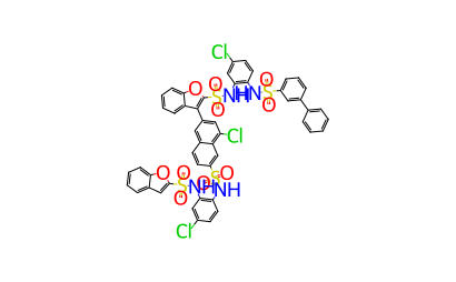 O=S(=O)(Nc1ccc(Cl)cc1NS(=O)(=O)c1cc2ccccc2o1)c1ccc2cc(-c3c(S(=O)(=O)Nc4cc(Cl)ccc4NS(=O)(=O)c4cccc(-c5ccccc5)c4)oc4ccccc34)cc(Cl)c2c1